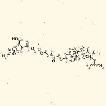 CC(C)CC[C@H](C)[C@@H]1CC[C@@H]2C3CCC4=C[C@H](OCC(=O)NCCOCCOCC(=O)N5C[C@H](OC(C)C)C[C@H]5CO)CC[C@@]4(C)[C@@H]3CC[C@@]21C